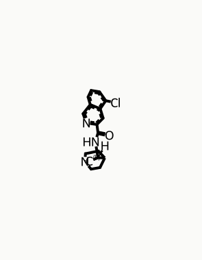 O=C(N[C@H]1CN2CCC1CC2)c1cc2c(Cl)cccc2cn1